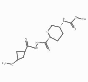 CC(C)(C)OC(=O)N[C@@H]1CC[C@@H](C(=O)NNC(=O)C2CC(OC(F)(F)F)C2)OC1